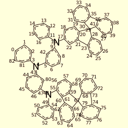 c1ccc(N(c2cccc(N(c3ccccc3)c3ccc4c(c3)-c3ccccc3C43c4ccccc4-c4ccccc43)c2)c2cccc(N(c3ccccc3)c3cccc4c3-c3ccccc3C43c4ccccc4-c4ccccc43)c2)cc1